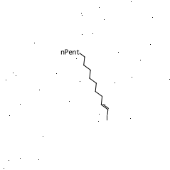 CCCCCCCCCCCCC=CI